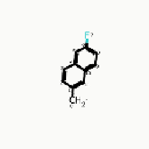 [CH2]c1ccc2cc(F)ccc2c1